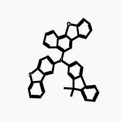 CC1(C)c2ccccc2-c2ccc(N(c3ccc4sc5ccccc5c4c3)c3cc4c5ccccc5oc4c4ccccc34)cc21